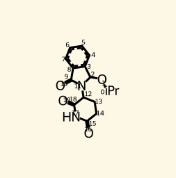 CC(C)OC1c2ccccc2C(=O)N1C1CCC(=O)NC1=O